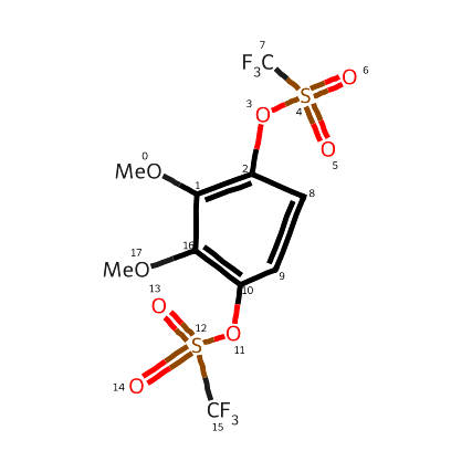 COc1c(OS(=O)(=O)C(F)(F)F)ccc(OS(=O)(=O)C(F)(F)F)c1OC